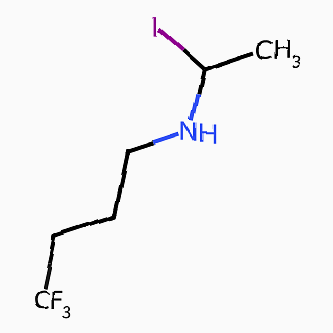 CC(I)NCCCC(F)(F)F